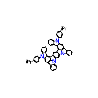 CC(C)c1ccc(-n2c3ccccc3c3c4c5cc6c7c8c9ccccc9n(-c9ccc(C(C)C)cc9)c8cc8c9ccccc9n(c6cc5n5c6ccccc6c(cc32)c45)c87)cc1